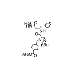 CCCCc1ncc(C(=O)N[C@@H](CC(=O)NO)Cc2ccsc2)n1Cc1ccc(C(=O)OC)cc1